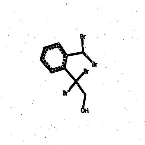 OCC(Br)(Br)c1ccccc1C(Br)Br